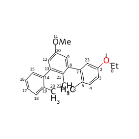 CCOc1ccc(C)c(-c2cc(OC)cc(-c3ccccc3C)c2C)c1